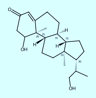 CC(CO)[C@H]1CC[C@H]2[C@@H]3CCC4=CC(=O)CC(O)[C@]4(C)[C@H]3CC[C@]12C